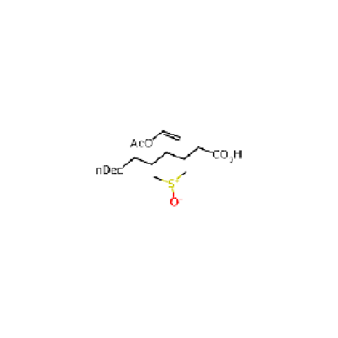 C=COC(C)=O.CCCCCCCCCCCCCCCC(=O)O.C[S+](C)[O-]